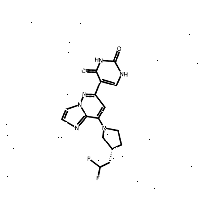 O=c1[nH]cc(-c2cc(N3CC[C@H](CC(F)F)C3)c3nccn3n2)c(=O)[nH]1